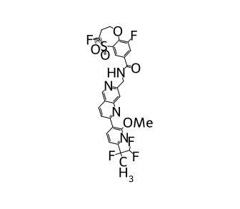 COc1nc(C(C)(F)C(F)F)ccc1-c1ccc2cnc(CNC(=O)c3cc(F)c4c(c3)S(=O)(=O)[C@@H](F)CCO4)cc2n1